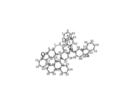 c1ccc(CC2CCc3cc4oc5ccccc5c4c(-c4cc5ccccc5c5ccccc45)c3-c3cccc(N(c4ccccc4)c4ccc5sc6ccccc6c5c4)c32)cc1